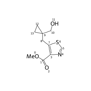 COC(=O)c1ncsc1CC1(CO)CC1